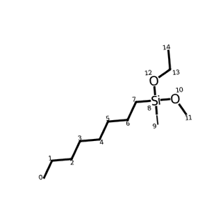 CCCCCCCC[Si](I)(OC)OCC